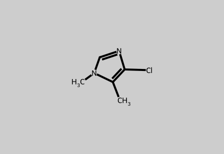 Cc1c(Cl)ncn1C